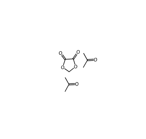 CC(C)=O.CC(C)=O.O=C1OCOC1=O